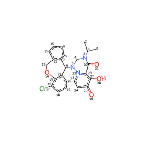 CC(C)N1CN(C2c3ccccc3COc3c(Cl)cccc32)n2ccc(=O)c(O)c2C1=O